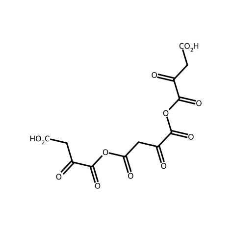 O=C(O)CC(=O)C(=O)OC(=O)CC(=O)C(=O)OC(=O)C(=O)CC(=O)O